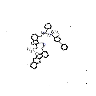 C=Cc1oc2cccc(C/N=C(\N=C(/N)c3ccc(-c4ccccc4)cc3)c3ccccc3)c2c1/C=C\Cc1cccc2c1oc1cc3ccccc3cc12